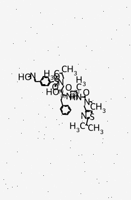 CCN(Cc1csc(C(C)C)n1)C(=O)N[C@@H](C)C(=O)N[C@@H](Cc1ccccc1)[C@H](O)CN(CC(C)C)S(=O)(=O)c1ccc(C=NO)cc1